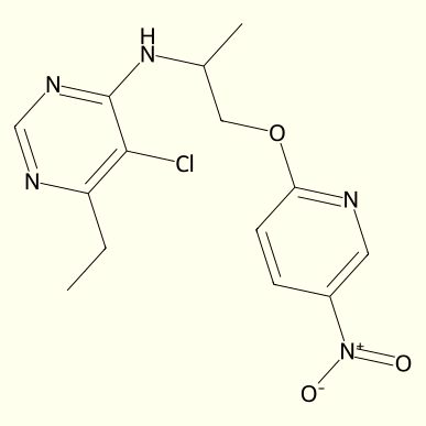 CCc1ncnc(NC(C)COc2ccc([N+](=O)[O-])cn2)c1Cl